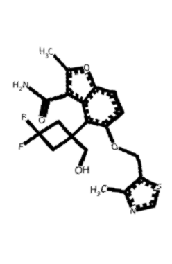 Cc1ncsc1COc1ccc2oc(C)c(C(N)=O)c2c1C1(CO)CC(F)(F)C1